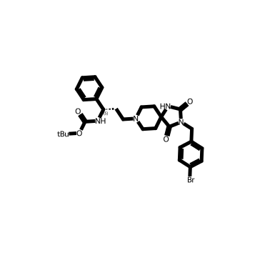 CC(C)(C)OC(=O)N[C@@H](CCN1CCC2(CC1)NC(=O)N(Cc1ccc(Br)cc1)C2=O)c1ccccc1